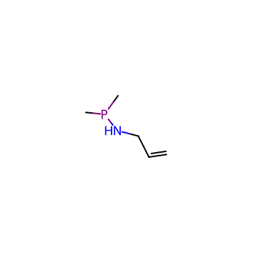 C=CCNP(C)C